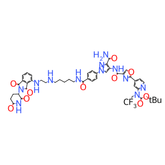 CC(C)(C)OC(=O)N(CC(F)(F)F)c1cc(-c2nc(C(=O)Nc3cn(-c4ccc(C(=O)NCCCCCNCCNc5cccc6c5C(=O)N(C5CCC(=O)NC5=O)C6=O)cc4)nc3C(N)=O)co2)ccn1